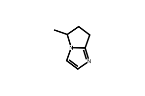 CC1CCc2nccn21